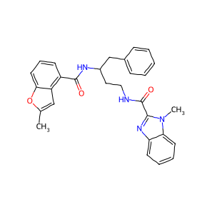 Cc1cc2c(C(=O)NC(CCNC(=O)c3nc4ccccc4n3C)Cc3ccccc3)cccc2o1